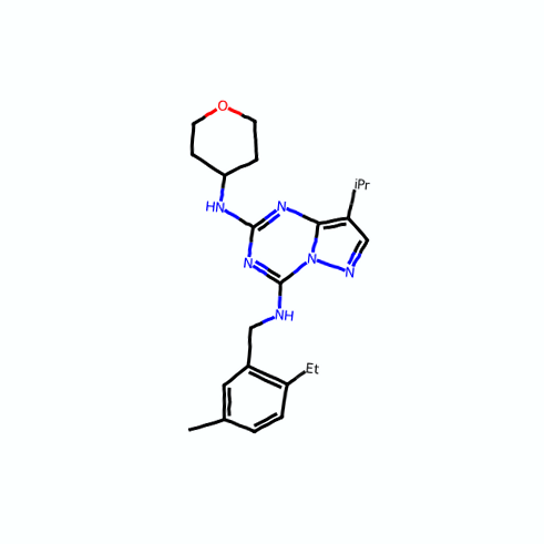 CCc1ccc(C)cc1CNc1nc(NC2CCOCC2)nc2c(C(C)C)cnn12